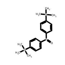 C[Si](C)(C)c1ccc([P](=O)c2ccc([Si](C)(C)C)cc2)cc1